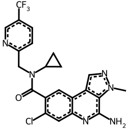 Cn1ncc2c3cc(C(=O)N(Cc4ccc(C(F)(F)F)cn4)C4CC4)c(Cl)cc3nc(N)c21